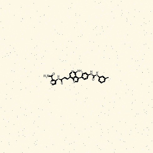 Cc1cccc(NC(=O)Nc2ccc(-c3csc4c(C=CC(=O)Nc5ccsc5C(N)=O)cnc(N)c34)cc2)c1